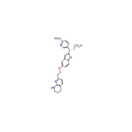 COc1ccc([C@H](CC(=O)O)n2cc3cc(OCCc4ccc5c(n4)NCCC5)ccc3n2)cn1